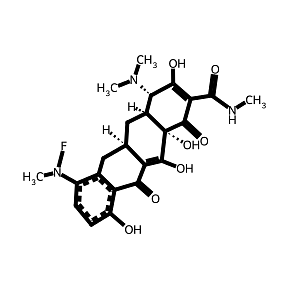 CNC(=O)C1=C(O)[C@@H](N(C)C)[C@@H]2C[C@@H]3Cc4c(N(C)F)ccc(O)c4C(=O)C3=C(O)[C@]2(O)C1=O